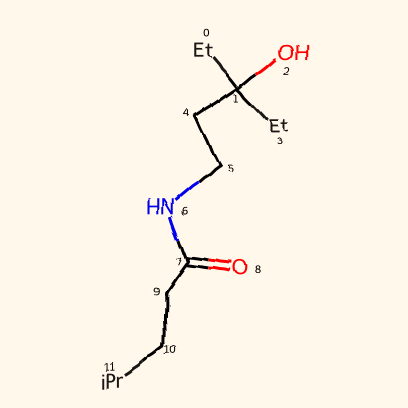 CCC(O)(CC)CCNC(=O)CCC(C)C